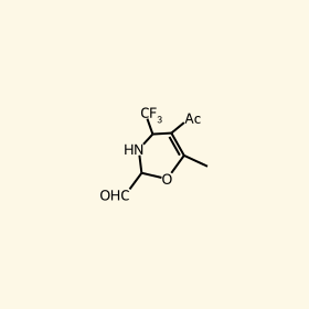 CC(=O)C1=C(C)OC(C=O)NC1C(F)(F)F